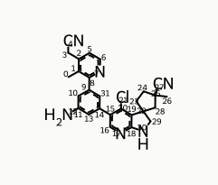 Cc1c(CC#N)ccnc1-c1cc(N)cc(-c2cnc3c(c2Cl)C2(CCC(C)(C#N)C2)CN3)c1